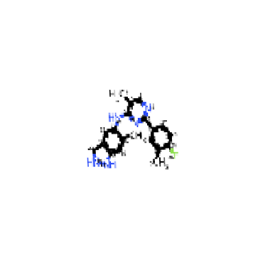 Cc1cc(-c2ncc(C)c(Nc3cc4c(cc3C)NNC4)n2)ccc1F